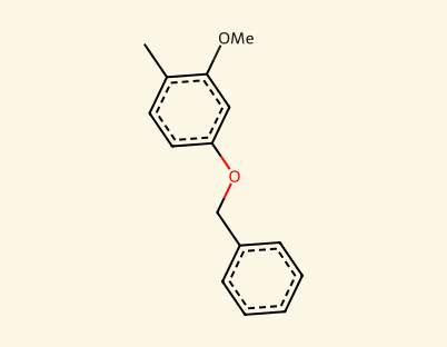 COc1cc(OCc2ccccc2)ccc1C